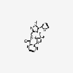 O=C(NCc1n[nH]c(-c2cccs2)n1)c1nccnc1N1CC(F)(F)C1